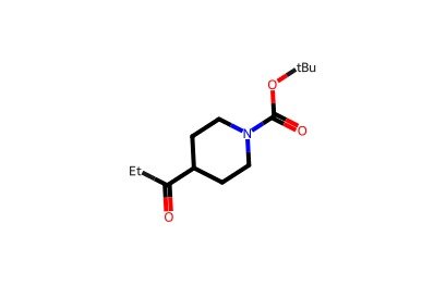 CCC(=O)C1CCN(C(=O)OC(C)(C)C)CC1